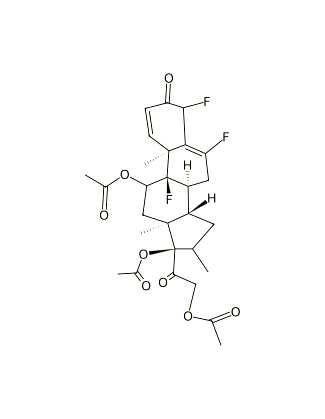 CC(=O)OCC(=O)[C@@]1(OC(C)=O)C(C)C[C@H]2[C@@H]3CC(F)=C4C(F)C(=O)C=C[C@]4(C)[C@@]3(F)C(OC(C)=O)C[C@@]21C